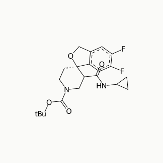 CC(C)(C)OC(=O)N1CC[C@@]2(OCc3cc(F)c(F)cc32)C(C(=O)NC2CC2)C1